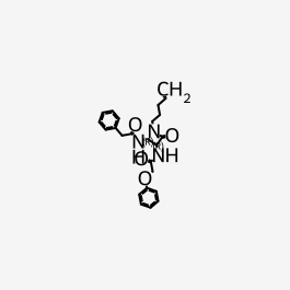 C=CCCCN1C(=O)[C@H](NC(=O)COc2ccccc2)[C@@H]1NC(=O)Cc1ccccc1